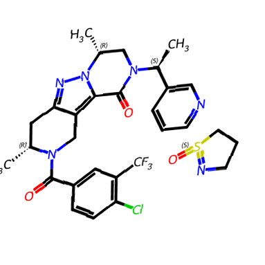 C[C@@H]1Cc2nn3c(c2CN1C(=O)c1ccc(Cl)c(C(F)(F)F)c1)C(=O)N([C@@H](C)c1ccc([S@]2(=O)=NCCC2)nc1)C[C@H]3C